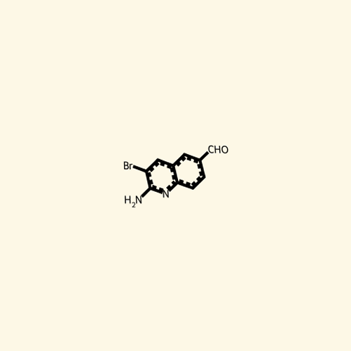 Nc1nc2ccc(C=O)cc2cc1Br